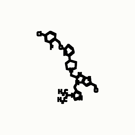 CC(C)n1cncc1Cn1c(CN2CCC(c3cccc(OCc4ccc(Cl)cc4F)n3)CC2)nc2sc(C=O)cc21